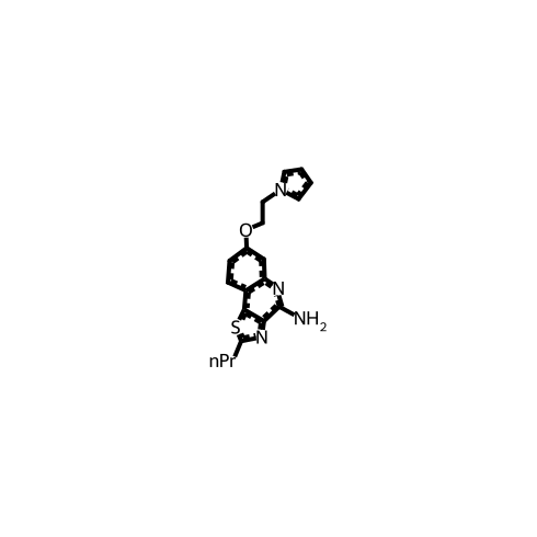 CCCc1nc2c(N)nc3cc(OCCn4cccc4)ccc3c2s1